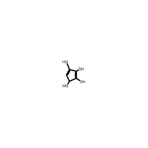 OC1=CC(O)C(O)=C1O